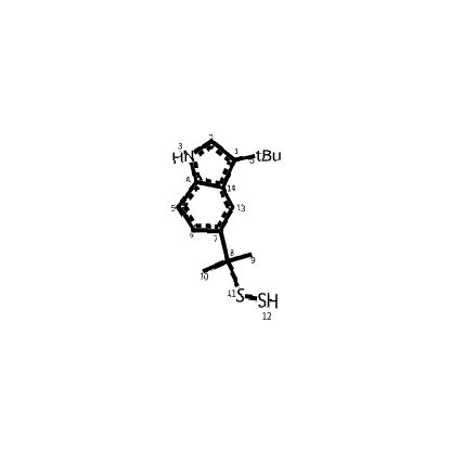 CC(C)(C)c1c[nH]c2ccc(C(C)(C)SS)cc12